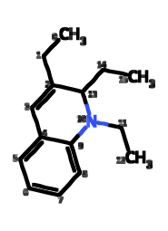 CCC1=Cc2ccccc2N(CC)C1CC